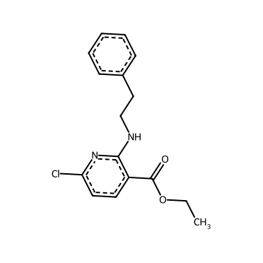 CCOC(=O)c1ccc(Cl)nc1NCCc1ccccc1